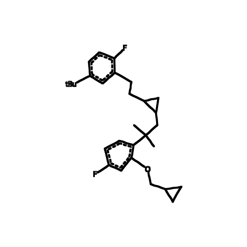 CC(C)(C)c1ccc(F)c(CCC2CC2CC(C)(C)c2ccc(F)cc2OCC2CC2)c1